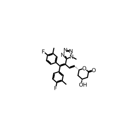 Cc1cc(C(=C(C=C[C@H]2C[C@H](O)CC(=O)O2)c2nnnn2C)c2ccc(F)c(C)c2)ccc1F